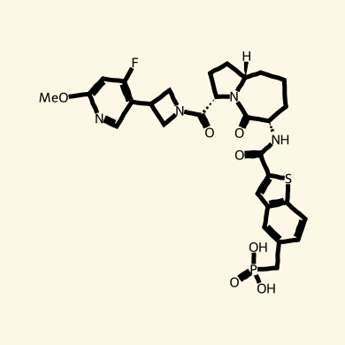 COc1cc(F)c(C2CN(C(=O)[C@@H]3CC[C@@H]4CCC[C@H](NC(=O)c5cc6cc(CP(=O)(O)O)ccc6s5)C(=O)N43)C2)cn1